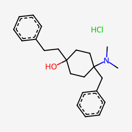 CN(C)C1(Cc2ccccc2)CCC(O)(CCc2ccccc2)CC1.Cl